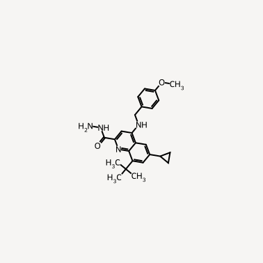 COc1ccc(CNc2cc(C(=O)NN)nc3c(C(C)(C)C)cc(C4CC4)cc23)cc1